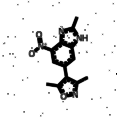 Cc1nc2c([N+](=O)[O-])cc(-c3c(C)noc3C)cc2[nH]1